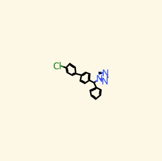 Clc1ccc(-c2ccc(C(c3ccccc3)n3cncn3)cc2)cc1